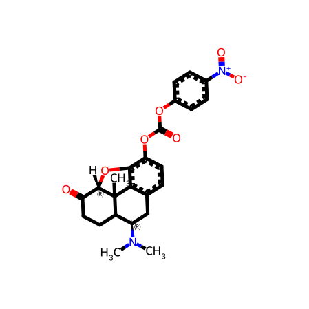 CN(C)[C@@H]1Cc2ccc(OC(=O)Oc3ccc([N+](=O)[O-])cc3)c3c2C2(C)C1CCC(=O)[C@@H]2O3